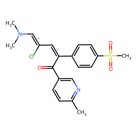 Cc1ccc(C(=O)/C(=C\C(Cl)=C\N(C)C)c2ccc(S(C)(=O)=O)cc2)cn1